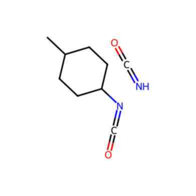 CC1CCC(N=C=O)CC1.N=C=O